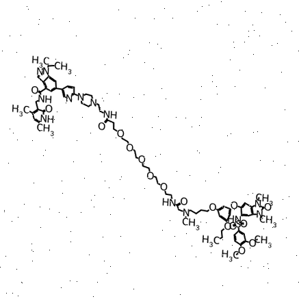 CCCOc1cc(OCCCCN(C)CC(=O)NCCOCCOCCOCCOCCOCCC(=O)NCCN2CCN(c3ccc(-c4cc(C(=O)NCc5c(C)cc(C)[nH]c5=O)c5cnn(C(C)C)c5c4)cn3)CC2)cc(Oc2cc3c(cc2NS(=O)(=O)c2ccc(OC)c(OC)c2)n(C)c(=O)n3C)c1